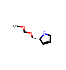 COCOC[C@H]1C=CCN1